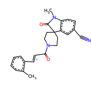 Cc1ccccc1/C=C/C(=O)N1CCC2(CC1)C(=O)N(C)c1ccc(C#N)cc12